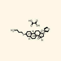 C[C@]12CC[C@H](SCCCN)C[C@@H]1CC[C@@H]1[C@@H]2CC[C@]2(C)[C@@H](c3ccoc3)C[C@H]3O[C@]132.O=C(O)C(=O)O